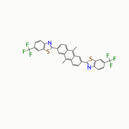 Cc1c2ccc(-c3nc4ccc(C(F)(F)F)cc4s3)cc2c(C)c2ccc(-c3nc4ccc(C(F)(F)F)cc4s3)cc12